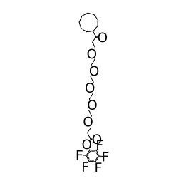 O=C(CCOCCOCCOCCOCCOCCC(=O)C1CCCCCCCC1)Oc1c(F)c(F)c(F)c(F)c1F